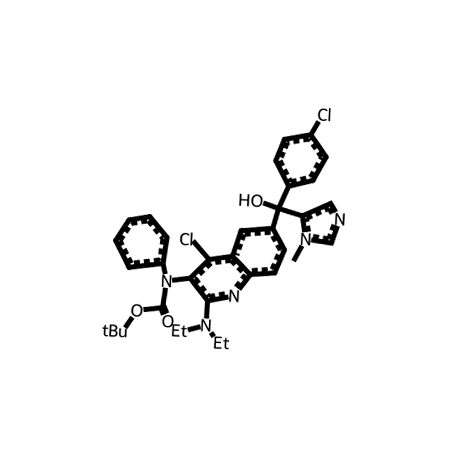 CCN(CC)c1nc2ccc(C(O)(c3ccc(Cl)cc3)c3cncn3C)cc2c(Cl)c1N(C(=O)OC(C)(C)C)c1ccccc1